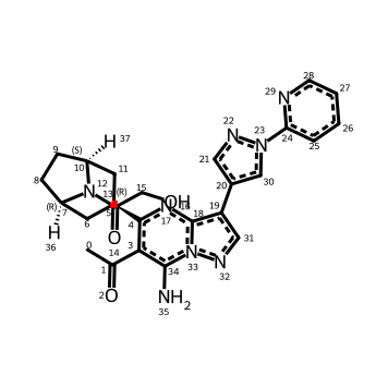 CC(=O)c1c([C@H]2C[C@H]3CC[C@@H](C2)N3C(=O)CO)nc2c(-c3cnn(-c4ccccn4)c3)cnn2c1N